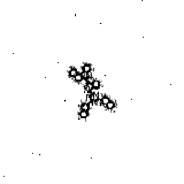 c1ccc2cc(-c3nc(-c4ccc5ccccc5c4)nc(-c4ncc(-c5nc6ccccc6c6c5ccc5ccccc56)c5ccccc45)n3)ccc2c1